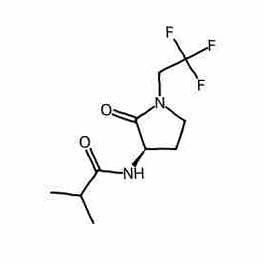 CC(C)C(=O)N[C@@H]1CCN(CC(F)(F)F)C1=O